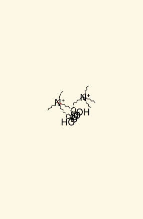 CCCCCC[N+](CCCCCC)(CCCCCC)CCCCCC.CCCCCC[N+](CCCCCC)(CCCCCC)CCCCCC.O=C(O)c1ccccc1[S+]([O-])c1ccccc1C(=O)O